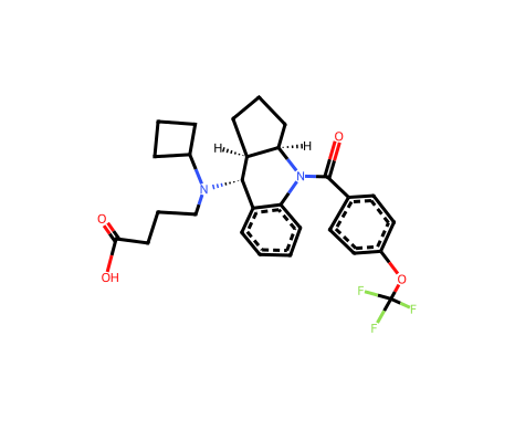 O=C(O)CCCN(C1CCC1)[C@H]1c2ccccc2N(C(=O)c2ccc(OC(F)(F)F)cc2)[C@@H]2CCC[C@@H]21